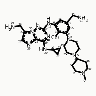 CN1CCC(N2CCN(c3cc(CN)cc(Nc4nc(NC5CC5)c5ncc(CN)n5n4)c3Cl)CC2)CC1